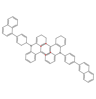 C1=CC(N(c2ccccc2C2=CC=C(C3=C(N(c4ccccc4)c4ccc(-c5ccc6ccccc6c5)cc4)C=CCC3)CC2)C2C=CC(c3cccc4ccccc34)=CC2)=CCC1